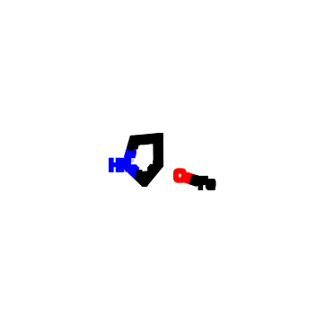 [O]=[Fe].c1cc[nH]c1